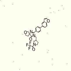 O=C(N1CCC(CN2C(=O)C3(CCOC3)N=C2c2ccc(-c3ccc4occc4c3)cc2)C1)C(F)(F)F